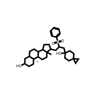 CC12CCC3C(CCC4CC(O)CC[C@@]43C)C1CCC2CC(CC1(O)CCC2(CC1)CC2)S(=O)(=O)c1ccccc1